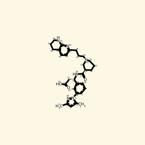 Cc1cc(C)n(-c2cccc([C@H](CC(=O)O)NC(=O)[C@@H]3CCCN(CCCc4ccc5c(n4)NCCC5)C3)c2)n1